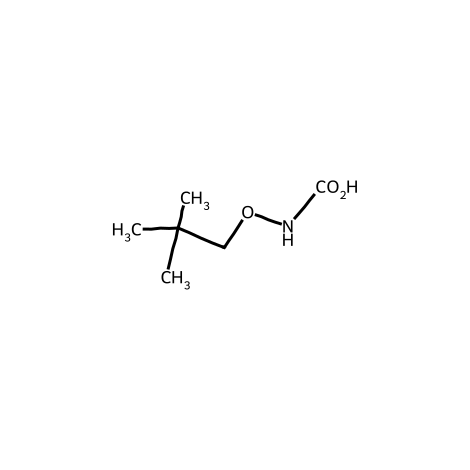 CC(C)(C)CONC(=O)O